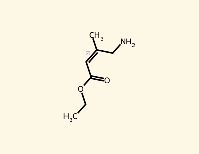 CCOC(=O)/C=C(/C)CN